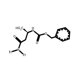 CCN(CC)C(=O)C[C@H](NC(=O)OCc1ccccc1)C(=O)O